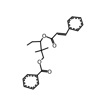 CCC(OC(=O)C=Cc1ccccc1)C(C)(C)COC(=O)c1ccccc1